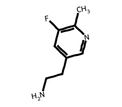 Cc1ncc(CCN)cc1F